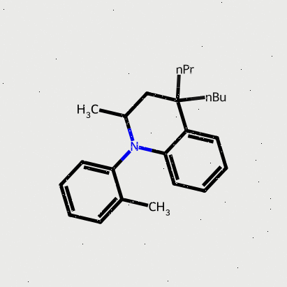 CCCCC1(CCC)CC(C)N(c2ccccc2C)c2ccccc21